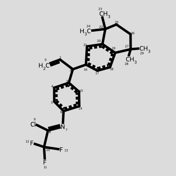 C=CC(c1ccc(N=C(Cl)C(F)(F)F)cc1)c1ccc2c(c1)C(C)(C)CCC2(C)C